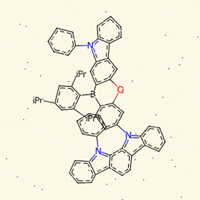 CC(C)c1cc(C(C)C)c(B2c3ccc(-n4c5ccccc5c5ccc6c7ccccc7n(-c7ccccc7)c6c54)cc3Oc3cc4c5ccccc5n(-c5ccccc5)c4cc32)c(C(C)C)c1